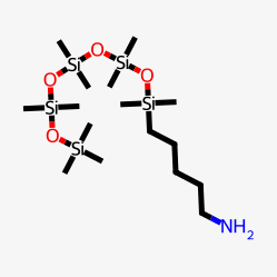 C[Si](C)(C)O[Si](C)(C)O[Si](C)(C)O[Si](C)(C)O[Si](C)(C)CCCCCN